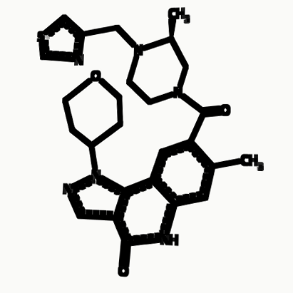 Cc1cc2[nH]c(=O)c3cnn(C4CCOCC4)c3c2cc1C(=O)N1CCN(Cc2cscn2)[C@@H](C)C1